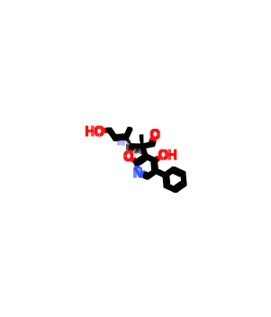 C/C(=C\CO)[C@H]1Oc2ncc(-c3ccccc3)c(O)c2[C@@]1(C)C=O